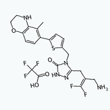 Cc1c(-c2ccc(Cn3c(CC(CN)=C(F)F)n[nH]c3=O)s2)ccc2c1NCCO2.O=C(O)C(F)(F)F